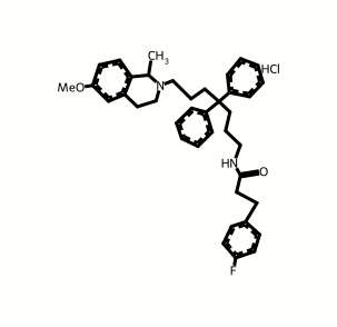 COc1ccc2c(c1)CCN(CCCC(CCCNC(=O)CCc1ccc(F)cc1)(c1ccccc1)c1ccccc1)C2C.Cl